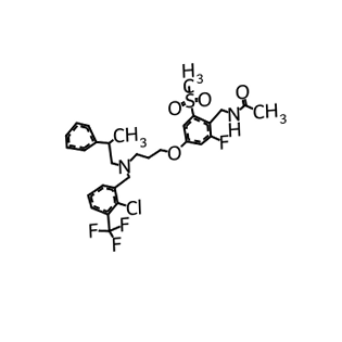 CC(=O)NCc1c(F)cc(OCCCN(Cc2cccc(C(F)(F)F)c2Cl)CC(C)c2ccccc2)cc1S(C)(=O)=O